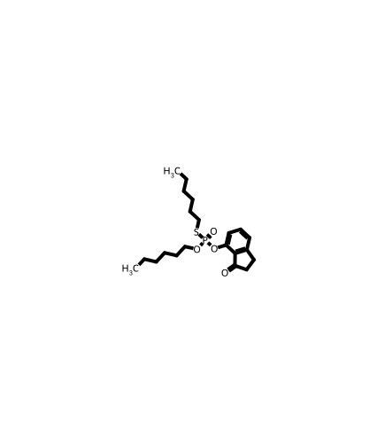 CCCCCCOP(=O)(Oc1cccc2c1C(=O)CC2)SCCCCCC